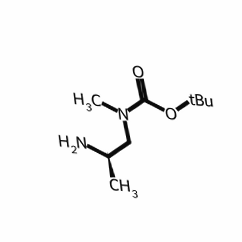 C[C@@H](N)CN(C)C(=O)OC(C)(C)C